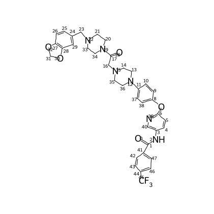 O=C(Nc1ccc(Oc2ccc(N3CCN(CC(=O)N4CCN(Cc5ccc6c(c5)OCO6)CC4)CC3)cc2)nc1)c1ccc(C(F)(F)F)cc1